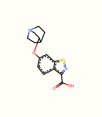 O=C(O)c1nsc2cc(OC3CN4CCC3CC4)ccc12